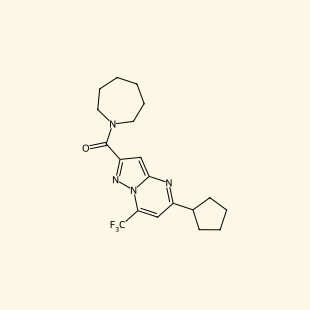 O=C(c1cc2nc(C3CCCC3)cc(C(F)(F)F)n2n1)N1CCCCCC1